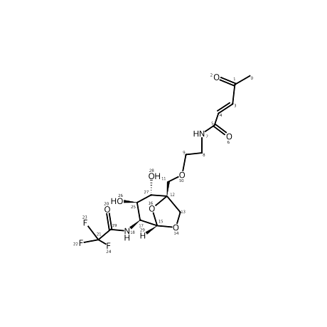 CC(=O)/C=C/C(=O)NCCOC[C@@]12CO[C@@H](O1)[C@@H](NC(=O)C(F)(F)F)[C@@H](O)[C@@H]2O